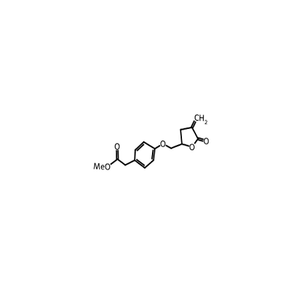 C=C1CC(COc2ccc(CC(=O)OC)cc2)OC1=O